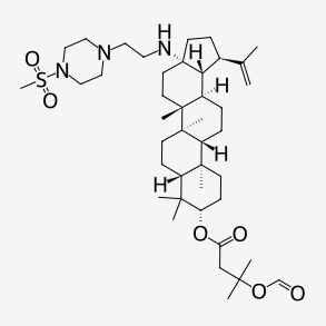 C=C(C)[C@@H]1CC[C@]2(NCCN3CCN(S(C)(=O)=O)CC3)CC[C@]3(C)[C@H](CC[C@@H]4[C@@]5(C)CC[C@H](OC(=O)CC(C)(C)OC=O)C(C)(C)[C@@H]5CC[C@]43C)[C@@H]12